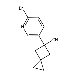 N#CC1(c2ccc(Br)nc2)CC2(CC2)C1